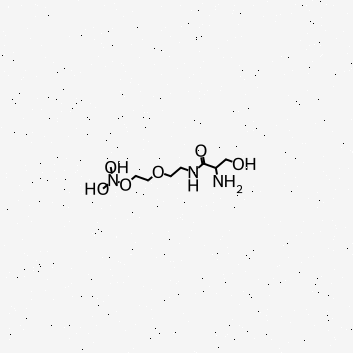 NC(CO)C(=O)NCCOCCON(O)O